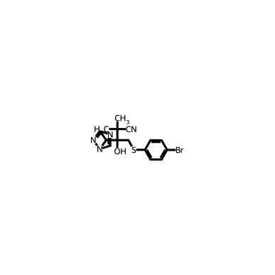 CC(C)(C#N)C(O)(CSc1ccc(Br)cc1)C1c2ncn1n2